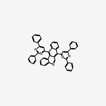 c1ccc(-c2cc(-c3c4ccccc4c(-c4cc(-c5ccccc5)nc(-c5ccccc5)n4)c4c3cnc3ccccc34)nc(-c3ccccc3)n2)cc1